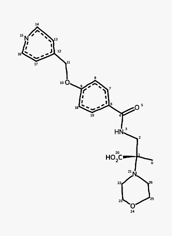 C[C@](CNC(=O)c1ccc(OCc2ccncc2)cc1)(C(=O)O)N1CCOCC1